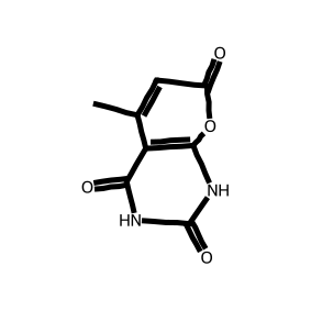 Cc1cc(=O)oc2[nH]c(=O)[nH]c(=O)c12